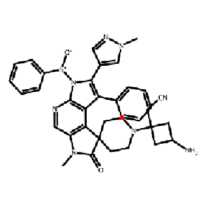 CN1C(=O)C2(CCN(C3(CC#N)CC(N)C3)CC2)c2c1cnc1c2c(-c2ccccc2)c(-c2cnn(C)c2)n1[S+]([O-])c1ccccc1